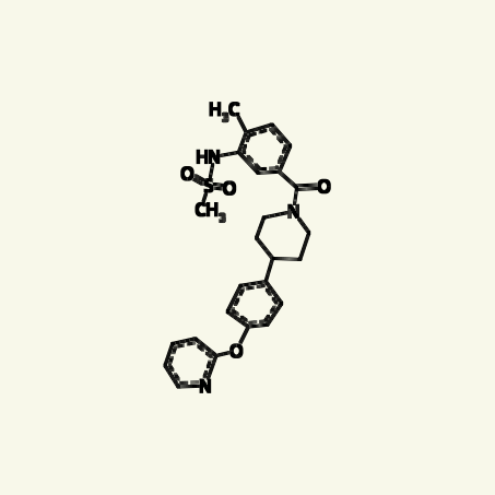 Cc1ccc(C(=O)N2CCC(c3ccc(Oc4ccccn4)cc3)CC2)cc1NS(C)(=O)=O